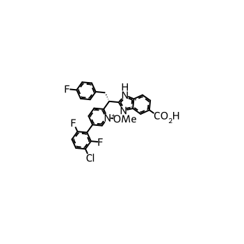 CO[n+]1cc(-c2c(F)ccc(Cl)c2F)ccc1[C@H](Cc1ccc(F)cc1)c1nc2cc(C(=O)O)ccc2[nH]1